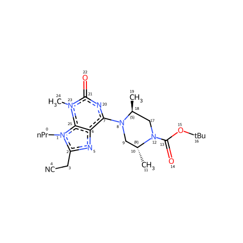 CCCn1c(CC#N)nc2c(N3C[C@@H](C)N(C(=O)OC(C)(C)C)C[C@@H]3C)nc(=O)n(C)c21